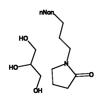 CCCCCCCCCCCCN1CCCC1=O.OCC(O)CO